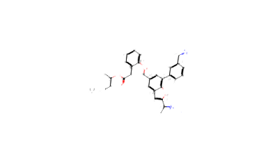 COCC(C)OC(=O)Cc1ccccc1OCc1cc(-c2cccc(CN)c2)c2oc(C(C)N)cc2c1